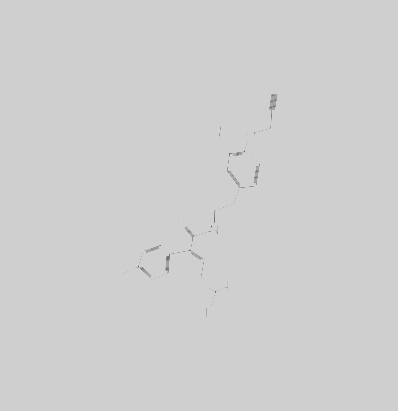 C#CCOc1ccc(CCNC(=S)C(=COC(F)F)c2ccc(C)cc2)cc1OC